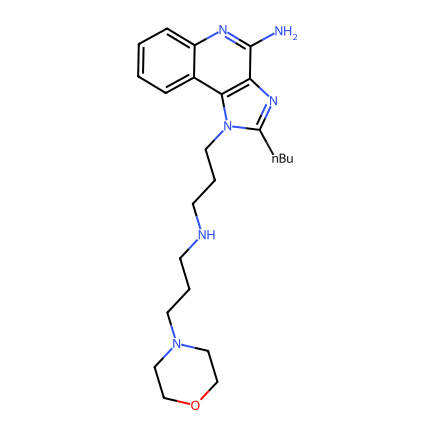 CCCCc1nc2c(N)nc3ccccc3c2n1CCCNCCCN1CCOCC1